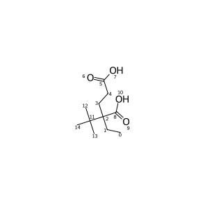 CCC(CCC(=O)O)(C(=O)O)C(C)(C)C